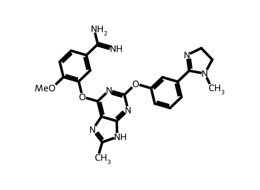 COc1ccc(C(=N)N)cc1Oc1nc(Oc2cccc(C3=NCCN3C)c2)nc2[nH]c(C)nc12